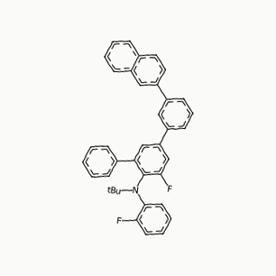 CC(C)(C)N(c1ccccc1F)c1c(F)cc(-c2cccc(-c3ccc4ccccc4c3)c2)cc1-c1ccccc1